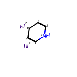 C1CCNCC1.I.I